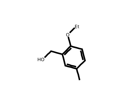 CCOc1ccc(C)cc1CO